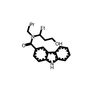 CCC(CCO)N(CC(C)C)C(=O)c1ccc2[nH]c3ccccc3c2c1